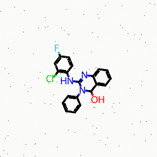 OC1c2ccccc2N=C(Nc2ccc(F)cc2Cl)N1c1ccccc1